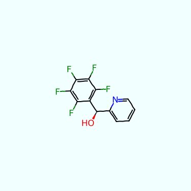 O[C@H](c1ccccn1)c1c(F)c(F)c(F)c(F)c1F